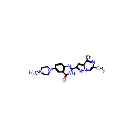 CCc1nc(C)cn2nc(-c3nc4ccc(N5CCN(C)CC5)cc4c(=O)[nH]3)cc12